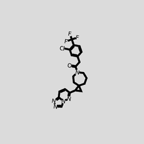 O=C(Cc1ccc(C(F)(F)F)c(Cl)c1)N1CCCC2(CC1)CC2c1ccc2nncn2n1